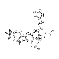 CCCCC(NC(=O)C(CC(C)C)NC(=O)c1ccc(C(F)(F)F)cc1F)C(=O)CSCc1ccco1